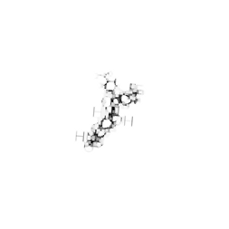 CC(C)c1ccc(N2C(=O)/C(=N\Nc3ccc(/C=C4/SC(=O)NC4=O)cc3O)c3ccc(C(F)(F)F)cc32)cc1